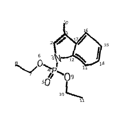 [CH2]c1cn(P(=O)(OCC)OCC)c2ccccc12